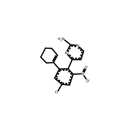 Nc1nccc(-c2c(C3=CCCCC3)cc(Cl)cc2[N+](=O)[O-])n1